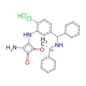 C[C@H](NC(c1ccccc1)c1ccc(Cl)c(Nc2c(N)c(=O)c2=O)c1)c1ccccc1.Cl